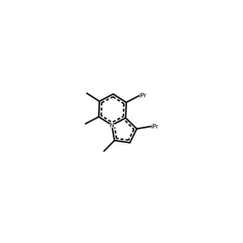 Cc1cc(C(C)C)c2c(C(C)C)cc(C)n2c1C